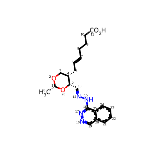 C[C@@H]1OC[C@H](CC=CCCCC(=O)O)[C@H](C=NNc2nncc3ccccc23)O1